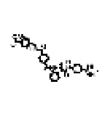 COC(=O)c1ccc(CNC(=O)c2ccc(C(C)Nc3ccccc3NC(=O)Nc3ccc(C(=N)N)cc3)cc2)cc1